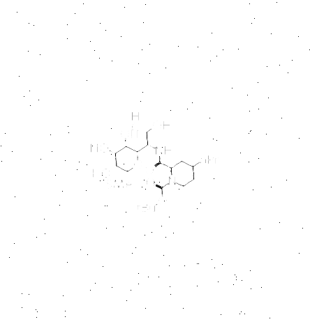 CCCC1CCN(C(=O)OC(C)(C)C)C(C(=O)N[C@@H]([C@H]2O[C@H](SC)[C@H](O)[C@@H](O)[C@H]2O)[C@H](C)O)C1